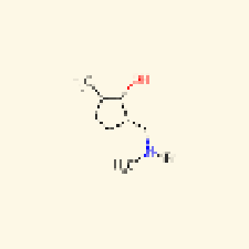 CC1CCC(CN(C)C(C)C)C1O